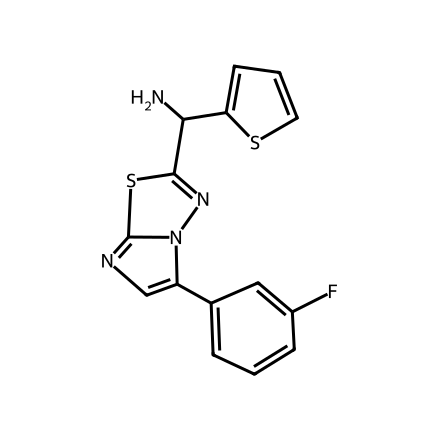 NC(c1cccs1)c1nn2c(-c3cccc(F)c3)cnc2s1